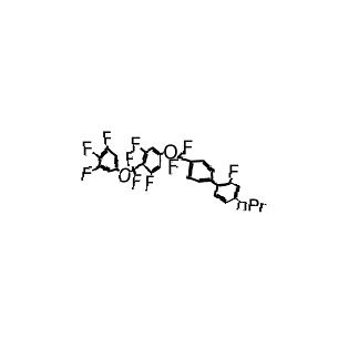 CCCc1ccc(-c2ccc(C(F)(F)Oc3cc(F)c(C(F)(F)Oc4cc(F)c(F)c(F)c4)c(F)c3)cc2)c(F)c1